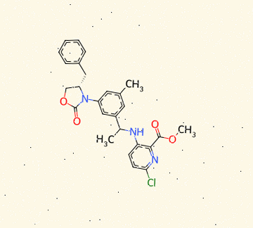 COC(=O)c1nc(Cl)ccc1NC(C)c1cc(C)cc(N2C(=O)OC[C@@H]2Cc2ccccc2)c1